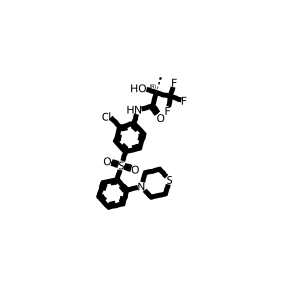 C[C@@](O)(C(=O)Nc1ccc(S(=O)(=O)c2ccccc2N2CCSCC2)cc1Cl)C(F)(F)F